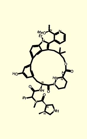 CCn1c(-c2cccnc2[C@H](C)OC)c2c3cc(ccc31)-c1cc(O)cc(c1)C[C@H](NC(=O)C(C(C)C)N(C)C(=O)[C@H]1CNC[C@H]1C)C(=O)N1CCC[C@H](N1)C(=O)OCC(C)(C)C2